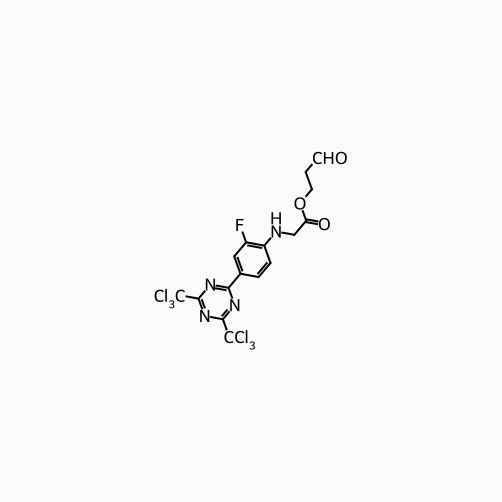 O=CCCOC(=O)CNc1ccc(-c2nc(C(Cl)(Cl)Cl)nc(C(Cl)(Cl)Cl)n2)cc1F